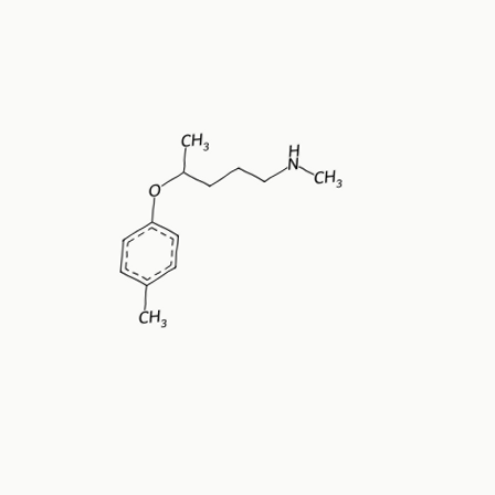 CNCCCC(C)Oc1ccc(C)cc1